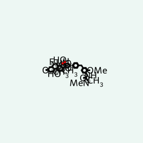 CN[C@@H](C)C(=O)Nc1ccc(Cc2ccc([C@@H]3O[C@@H]4CC5[C@@H]6C[C@H](F)C7=CC(=O)C=C[C@]7(C)[C@@]6(F)[C@@H](O)C[C@]5(C)[C@]4(C(=O)CO)O3)cc2)cc1OC